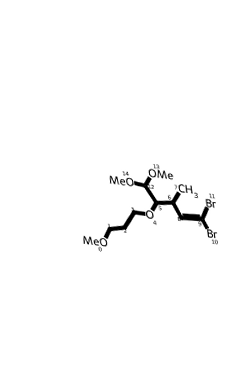 COCCCOC(C(C)C=C(Br)Br)C(OC)OC